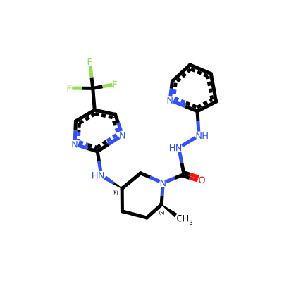 C[C@H]1CC[C@@H](Nc2ncc(C(F)(F)F)cn2)CN1C(=O)NNc1ccccn1